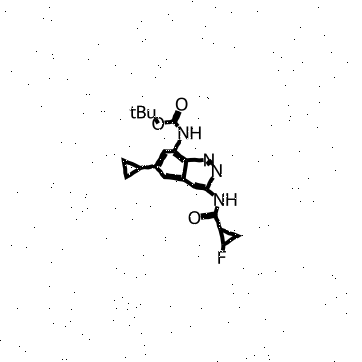 CC(C)(C)OC(=O)Nc1cc(C2CC2)cc2cc(NC(=O)C3CC3F)nnc12